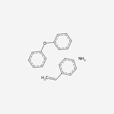 C=Cc1ccccc1.N.c1ccc(Oc2ccccc2)cc1